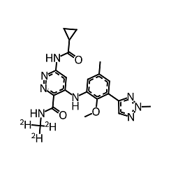 [2H]C([2H])([2H])NC(=O)c1nnc(NC(=O)C2CC2)cc1Nc1cc(C)cc(-c2cnn(C)n2)c1OC